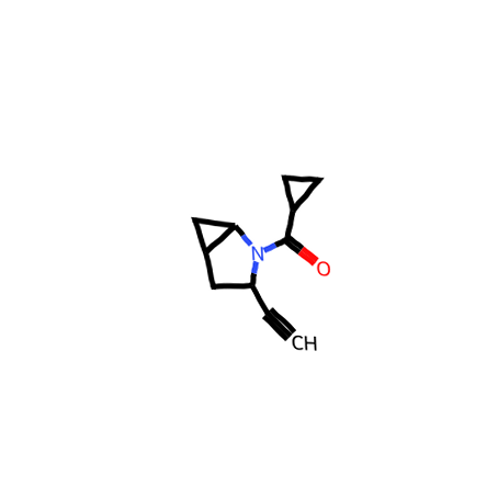 C#CC1CC2CC2N1C(=O)C1CC1